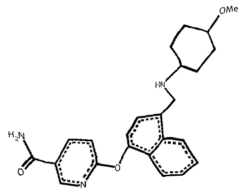 COC1CCC(NCc2ccc(Oc3ccc(C(N)=O)cn3)c3ccccc23)CC1